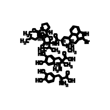 CC(C)C[C@H]1C(=O)N2CCC[C@H]2[C@]2(O)O[C@](NC(=O)[C@@H]3C=C4c5cccc6[nH]c(Br)c(c56)C[C@H]4N(C)C3)(C(C)C)C(=O)N12.C[C@@](Cc1ccc(O)c(O)c1)(NN)C(=O)O.N[C@@H](Cc1ccc(O)c(O)c1)C(=O)O